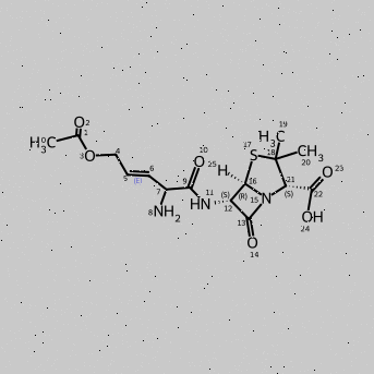 CC(=O)OC/C=C/C(N)C(=O)N[C@H]1C(=O)N2[C@@H]1SC(C)(C)[C@@H]2C(=O)O